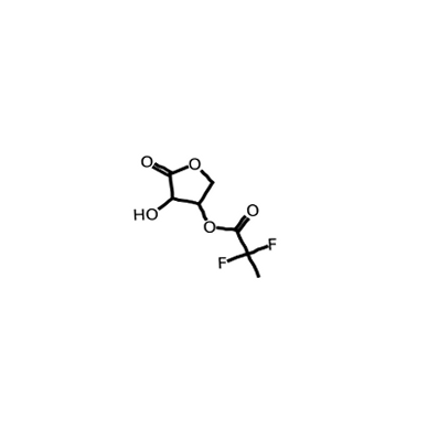 CC(F)(F)C(=O)OC1COC(=O)C1O